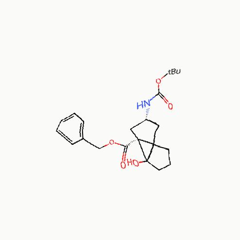 CC(C)(C)OC(=O)N[C@@H]1CC23CCCC2(O)[C@@]3(C(=O)OCc2ccccc2)C1